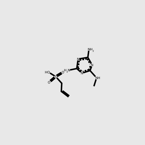 C=CCS(=O)(=O)O.CNc1nc(N)nc(N)n1